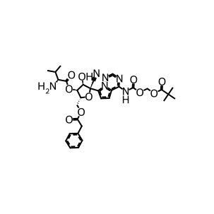 CC(C)[C@H](N)C(=O)O[C@H]1[C@@H](O)[C@](C#N)(c2ccc3c(NC(=O)OCOC(=O)C(C)(C)C)ncnn23)O[C@@H]1COC(=O)Cc1ccccc1